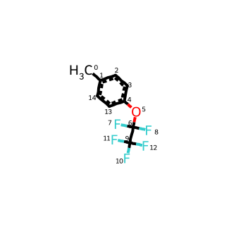 Cc1ccc(OC(F)(F)C(F)(F)F)cc1